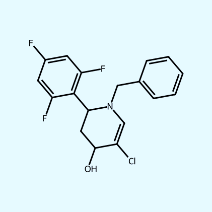 OC1CC(c2c(F)cc(F)cc2F)N(Cc2ccccc2)C=C1Cl